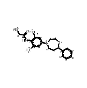 Cc1cc(N2CCOC(c3ccccc3)CC2)cc(C)c1NC(=O)CC(C)(C)C